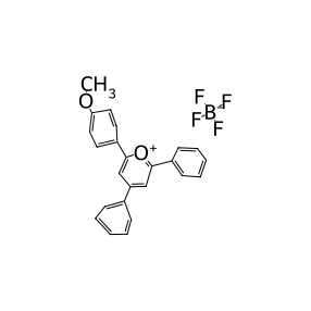 COc1ccc(-c2cc(-c3ccccc3)cc(-c3ccccc3)[o+]2)cc1.F[B-](F)(F)F